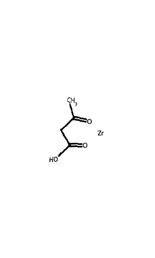 CC(=O)CC(=O)O.[Zr]